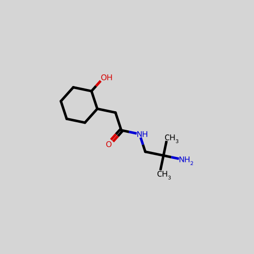 CC(C)(N)CNC(=O)CC1CCCCC1O